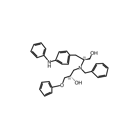 OC[C@H](Cc1ccc(Nc2ccccc2)cc1)N(Cc1ccccc1)C[C@H](O)COc1ccccc1